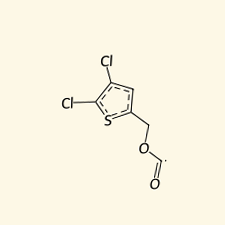 O=[C]OCc1cc(Cl)c(Cl)s1